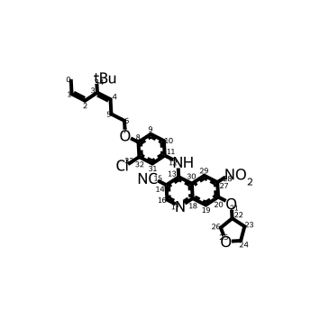 C/C=C\C(=C/CCOc1ccc(Nc2c(C#N)cnc3cc(OC4CCOC4)c([N+](=O)[O-])cc23)cc1Cl)C(C)(C)C